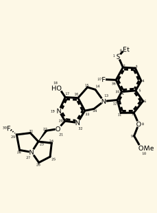 CCSc1ccc2cc(OCOC)cc(N3CCc4c(O)nc(OC[C@@]56CCCN5C[C@H](F)C6)nc4C3)c2c1F